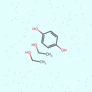 CCO.CCO.Oc1ccc(O)cc1